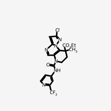 CCOC(=O)C1(C)CCN(C(=O)Nc2ccnc(C(F)(F)F)c2)c2cnc3cc(Cl)nn3c21